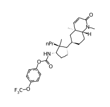 CCC[C@]1(C)[C@@H](NC(=O)Oc2ccc(OC(F)(F)F)cc2)CC[C@H]1[C@@H]1CC[C@H]2N(C)C(=O)C=C[C@]2(C)C1